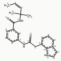 C/C=C\C(C)(C)NC(=O)c1cc(NC(=O)Cc2cccc3cc[nH]c23)ccn1